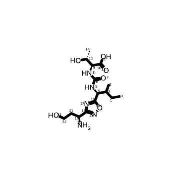 CCC(C)[C@H](NC(=O)N[C@H](C(=O)O)[C@@H](C)O)c1nc([C@@H](N)CCO)no1